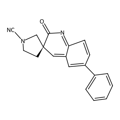 N#CN1CC[C@@]2(C=c3cc(-c4ccccc4)ccc3=NC2=O)C1